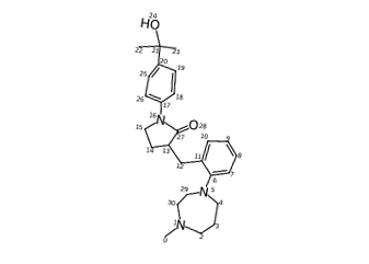 CN1CCCN(c2ccccc2CC2CCN(c3ccc(C(C)(C)O)cc3)C2=O)CC1